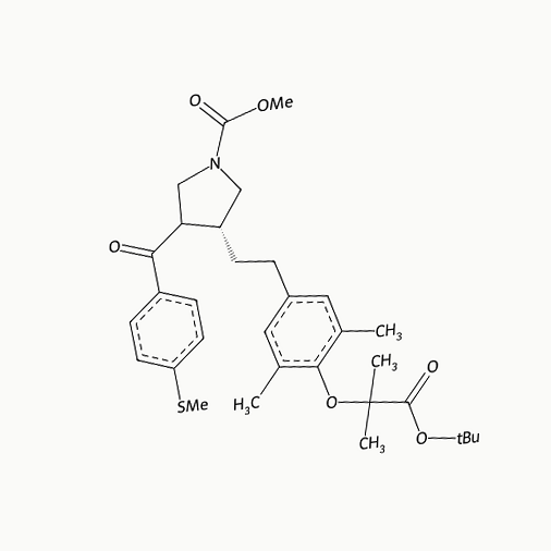 COC(=O)N1CC(C(=O)c2ccc(SC)cc2)[C@@H](CCc2cc(C)c(OC(C)(C)C(=O)OC(C)(C)C)c(C)c2)C1